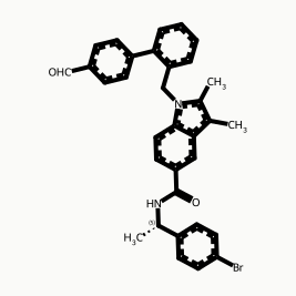 Cc1c(C)n(Cc2ccccc2-c2ccc(C=O)cc2)c2ccc(C(=O)N[C@@H](C)c3ccc(Br)cc3)cc12